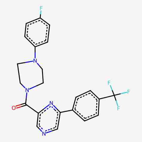 O=C(c1cncc(-c2ccc(C(F)(F)F)cc2)n1)N1CCN(c2ccc(F)cc2)CC1